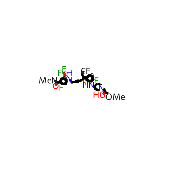 CNC(=O)c1cc(OC(F)F)c(NCC#Cc2sc3c(NC4CCN(CC(O)COC)CC4F)cccc3c2CC(F)(F)F)cc1F